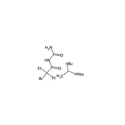 CCC(Br)(CC)C(=O)NC(N)=O.CCCCCCC(C)CCCC